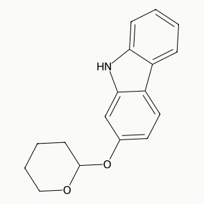 c1ccc2c(c1)[nH]c1cc(OC3CCCCO3)ccc12